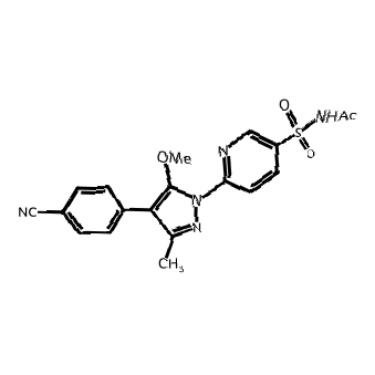 COc1c(-c2ccc(C#N)cc2)c(C)nn1-c1ccc(S(=O)(=O)NC(C)=O)cn1